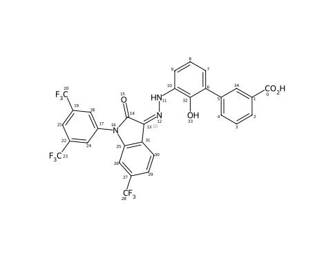 O=C(O)c1cccc(-c2cccc(N/N=C3\C(=O)N(c4cc(C(F)(F)F)cc(C(F)(F)F)c4)c4cc(C(F)(F)F)ccc43)c2O)c1